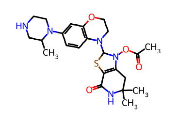 CC(=O)ON1C2=C(SC1N1CCOc3cc(N4CCNCC4C)ccc31)C(=O)NC(C)(C)C2